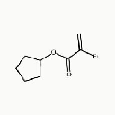 C=C(CC)C(=O)OC1CCCC1